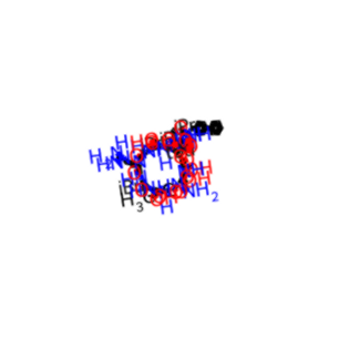 CC[C@H](C)C1NC(=O)[C@@H](CCCNC(=N)N)NC(=O)[C@H](CC(C)C)NC(=O)[C@H]([C@H](O)C(C)C)NC(=O)[C@@H](NC(=O)[C@H](CC(C)C)NC(=O)[C@H](Cc2ccc(-c3ccccc3)cc2)NC(=O)OC(C)(C)C)[C@@H](c2ccccc2)OC(=O)[C@H](CO)NC(=O)[C@H]([C@H](O)C(N)=O)NC(=O)CNC(=O)C([C@H](C)O)NC1=O